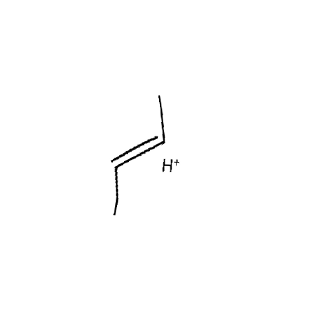 CC=CC.[H+]